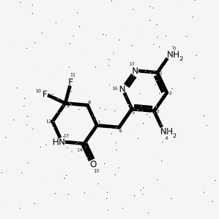 Nc1cc(N)c(CC2CC(F)(F)CNC2=O)nn1